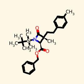 Cc1ccc(CC[C@@]2(C)C(=O)N([Si](C)(C)C(C)(C)C)[C@@H]2C(=O)OCc2ccccc2)cc1